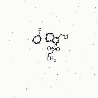 C=CCS(=O)(=O)n1cc(CCl)c2ccccc21.Fc1ccccc1